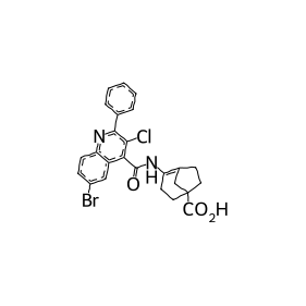 O=C(NC1=C2CCC(C(=O)O)(CC1)C2)c1c(Cl)c(-c2ccccc2)nc2ccc(Br)cc12